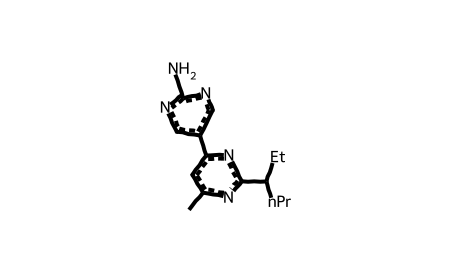 CCCC(CC)c1nc(C)cc(-c2cnc(N)nc2)n1